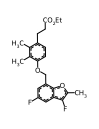 CCOC(=O)CCc1ccc(OCc2cc(F)cc3c(F)c(C)oc23)c(C)c1C